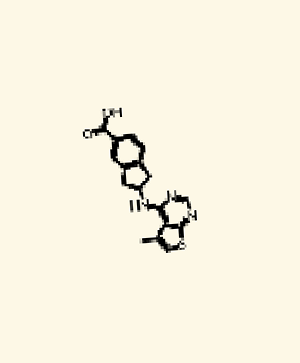 Cc1csc2ncnc(NC3Cc4ccc(C(=O)O)cc4C3)c12